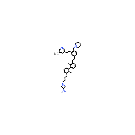 Cc1c(CCCCN2CC(N(C)C)C2)cccc1-c1cccc(CCc2ccc(CN3CCCCC3)c(CCc3cncc(C#N)c3)c2)c1C